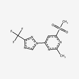 Cc1nc(-n2cnc(C(F)(F)F)n2)cc(S(C)(=O)=O)n1